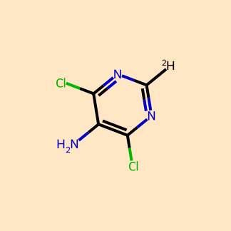 [2H]c1nc(Cl)c(N)c(Cl)n1